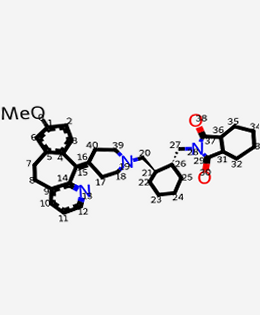 COc1ccc2c(c1)CCc1cccnc1C2=C1CCN(C[C@@H]2CCCC[C@H]2CN2C(=O)C3CCCCC3C2=O)CC1